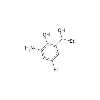 CCc1cc(N)c(O)c(C(O)CC)c1